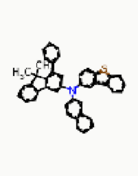 CC1(C)c2ccccc2-c2cc(N(c3ccc4ccccc4c3)c3ccc4sc5ccccc5c4c3)cc(-c3ccccc3)c21